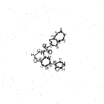 O=S(=O)(c1cc2ccccc2s1)N1CCOc2ccc(-c3cnco3)cc21